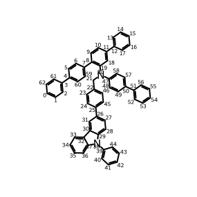 c1ccc(-c2ccc(-c3ccc(-c4ccccc4)cc3N(Cc3ccc(-c4ccc5c(c4)c4ccccc4n5-c4ccccc4)cc3)c3ccc(-c4ccccc4)cc3)cc2)cc1